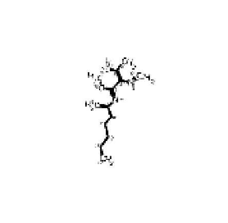 C=NC(=C(C)C)/C(=N/C(=C)CCCCC)OC